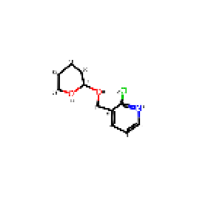 Clc1ncccc1COC1CCCCO1